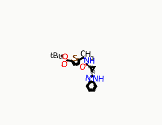 CC(NC(=O)[C@H]1C[C@@H]1c1nc2ccccc2[nH]1)c1ccc(C(=O)OC(C)(C)C)s1